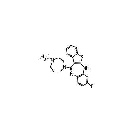 CN1CCCN(C2=Nc3ccc(F)cc3Nc3sc4ccccc4c32)CC1